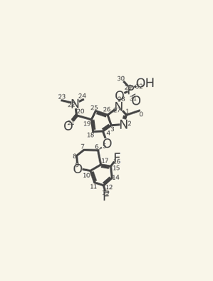 Cc1nc2c(O[C@H]3CCOc4cc(F)cc(F)c43)cc(C(=O)N(C)C)cc2n1OP(C)(=O)O